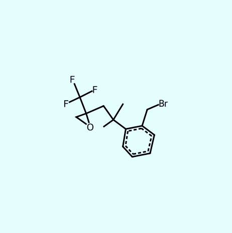 CC(C)(CC1(C(F)(F)F)CO1)c1ccccc1CBr